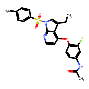 CCc1cn(S(=O)(=O)c2ccc(C)cc2)c2nccc(Oc3ccc(NC(C)=O)cc3F)c12